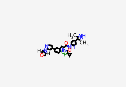 Cc1n[nH]c(C)c1-c1ccc(NC(=O)C(Cc2cc(-c3ccnc(N4C[C@H]5C[C@@H]4CO5)c3)ccc2Cl)NC(=O)C2(F)CC2)cc1